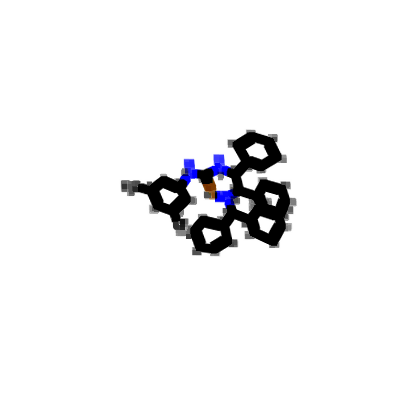 FC(F)(F)c1cc(NC(=S)NC(c2ccccc2)C(NC(c2ccccc2)c2ccccc2)c2ccccc2)cc(C(F)(F)F)c1